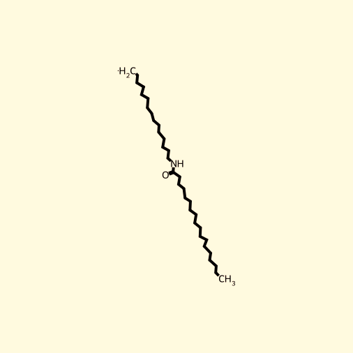 [CH2]CCCCCCCCCCCCCCNC(=O)CCCCCCCCCCCCCCCCC